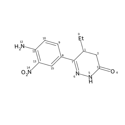 CCC1CC(=O)NN=C1c1ccc(N)c([N+](=O)[O-])c1